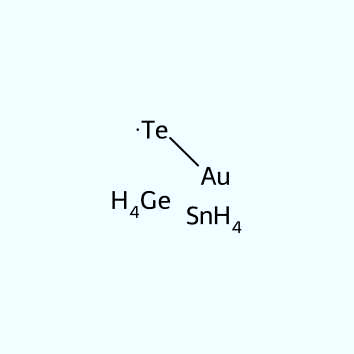 [GeH4].[SnH4].[Te][Au]